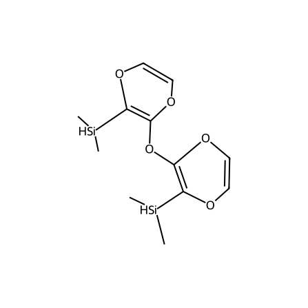 C[SiH](C)C1=C(OC2=C([SiH](C)C)OC=CO2)OC=CO1